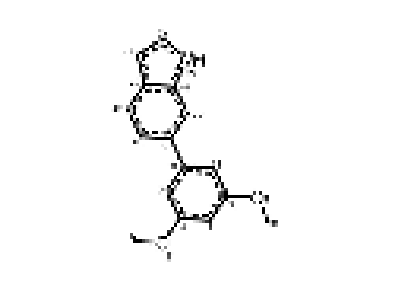 COc1cc(OC)cc(-c2ccc3cc[nH]c3c2)c1